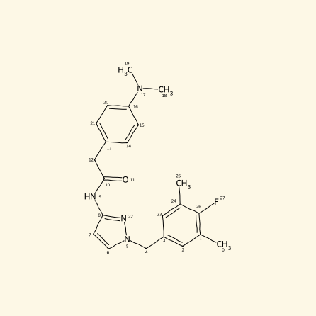 Cc1cc(Cn2ccc(NC(=O)Cc3ccc(N(C)C)cc3)n2)cc(C)c1F